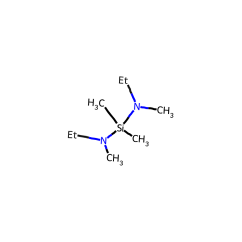 CCN(C)[Si](C)(C)N(C)CC